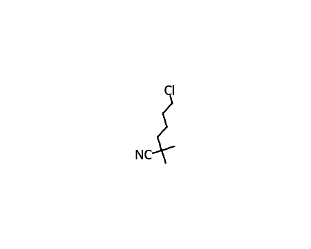 CC(C)(C#N)CCCCCl